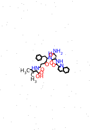 CC[C@H](C)[C@H](NC(=O)CC1OC1C(Cc1ccccc1)NC(=O)[C@@H](CC(N)=O)NC(=O)c1ccc2ccccc2n1)C(=O)O